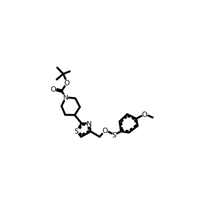 COc1ccc(SOCc2csc(C3CCN(C(=O)OC(C)(C)C)CC3)n2)cc1